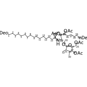 CCCCCCCCCCCCCCCCCCCCCCCCCC(=O)N[C@@H](COC1OC(COC(C)=O)C(OC(C)=O)C(C)C1C)[C@H](OC(C)=O)[C@@H](CCCCCCCCCCCCCC)OC(C)=O